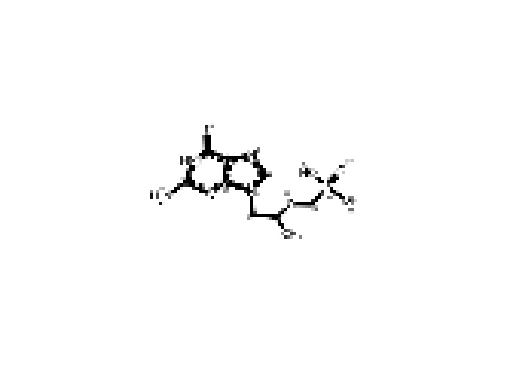 CC(Cn1cnc2c(=S)[nH]c(N)nc21)OCP(=O)(O)O